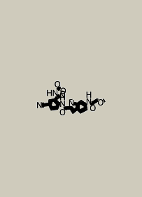 COCC(=O)Nc1ccc2cc(C(=O)Nc3ccc(C#N)cc3-c3noc(=O)[nH]3)n(C)c2c1